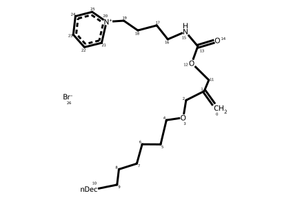 C=C(COCCCCCCCCCCCCCCCC)COC(=O)NCCCC[n+]1ccccc1.[Br-]